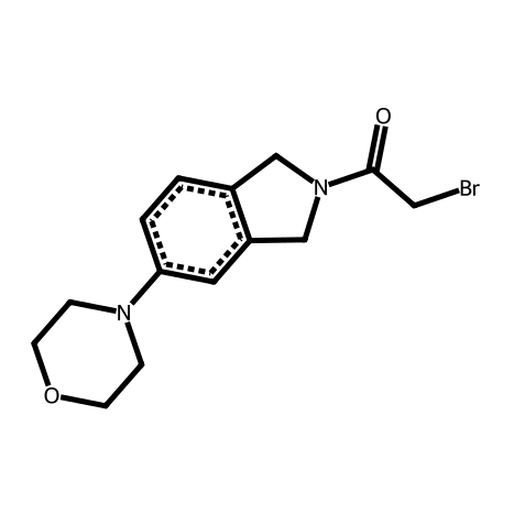 O=C(CBr)N1Cc2ccc(N3CCOCC3)cc2C1